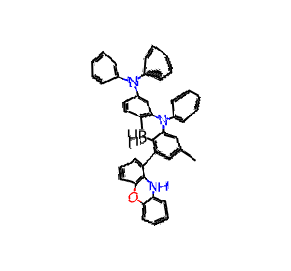 Cc1cc(-c2cccc3c2Nc2ccccc2O3)c2c(c1)N(c1ccccc1)c1cc(N(c3ccccc3)c3ccccc3)ccc1B2